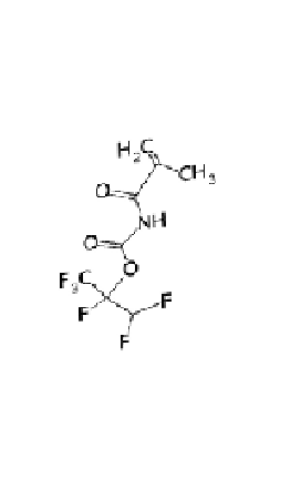 C=C(C)C(=O)NC(=O)OC(F)(C(F)F)C(F)(F)F